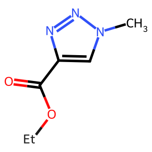 CCOC(=O)c1cn(C)nn1